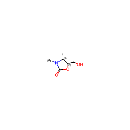 CC(C)N1C(=O)O[C@H](CO)[C@H]1C